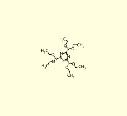 CCON(OCC)c1nc(N(OCC)OCC)nc(N(OCC)OCC)n1